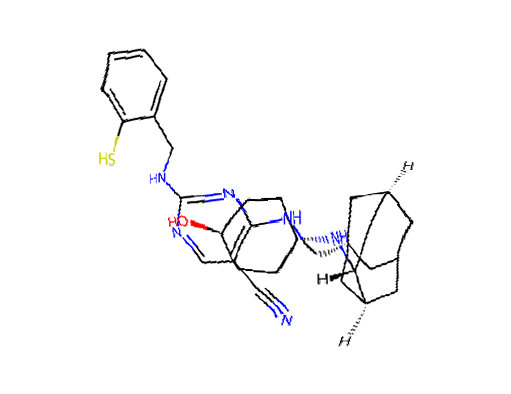 N#Cc1cnc(NCc2ccccc2S)nc1NC[C@@]12CC3C[C@H](C1)[C@@H](N[C@H]1CC[C@H](O)CC1)[C@@H](C3)C2